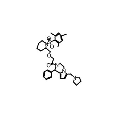 Cc1cc(C)c(S(=O)(=O)N2CCCCC2COCC(=O)N2CCn3c(CN4CCCC4)ccc3C2c2ccccc2)c(C)c1